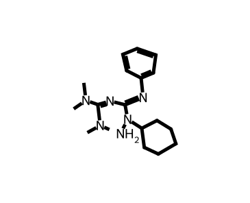 CN(C)C(=N/C(=N\c1ccccc1)N(N)C1CCCCC1)N(C)C